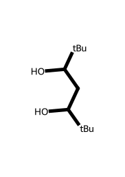 CC(C)(C)C(O)CC(O)C(C)(C)C